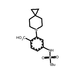 CC(C)(C)S(=O)(=O)Nc1ccc(C(=O)O)c(N2CCC3(CC2)CC3)c1